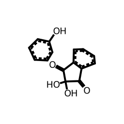 O=C1c2ccccc2C(=O)C1(O)O.Oc1ccccc1